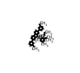 C=CCOc1c(C(C)(C)C)cc(C)cc1[Si](C)(C)C1c2cc(-c3cccc(CC)c3)ccc2-c2ccc(-c3cccc(CC)c3)cc21